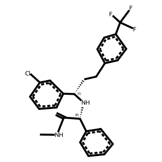 C=C(NC)[C@H](N[C@@H](CCc1ccc(C(F)(F)F)cc1)c1cccc(Cl)c1)c1ccccc1